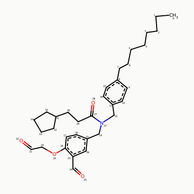 CCCCCCCCc1ccc(CN(Cc2ccc(OCC=O)c(C=O)c2)C(=O)CCC2CCCC2)cc1